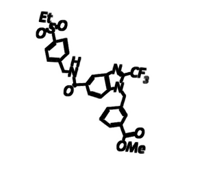 CCS(=O)(=O)c1ccc(CNC(=O)c2ccc3c(c2)nc(C(F)(F)F)n3Cc2cccc(C(=O)OC)c2)cc1